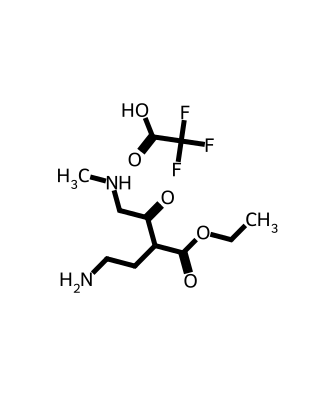 CCOC(=O)C(CCN)C(=O)CNC.O=C(O)C(F)(F)F